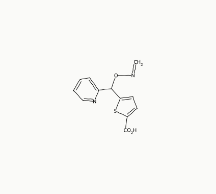 C=NOC(c1ccccn1)c1ccc(C(=O)O)s1